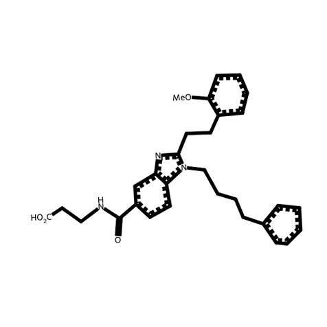 COc1ccccc1CCc1nc2cc(C(=O)NCCC(=O)O)ccc2n1CCCCc1ccccc1